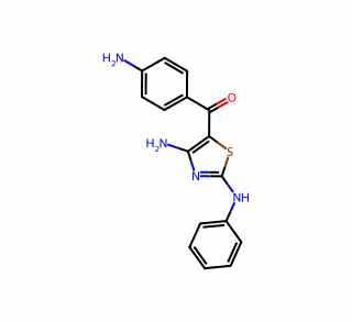 Nc1ccc(C(=O)c2sc(Nc3ccccc3)nc2N)cc1